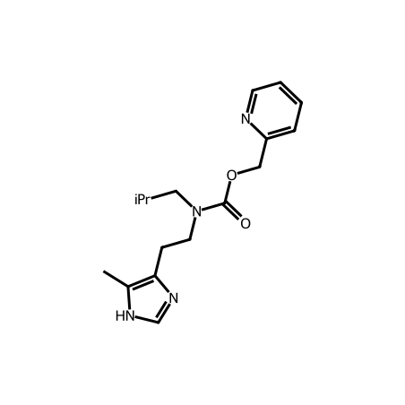 Cc1[nH]cnc1CCN(CC(C)C)C(=O)OCc1ccccn1